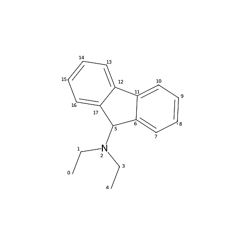 CCN(CC)C1c2c[c]ccc2-c2ccccc21